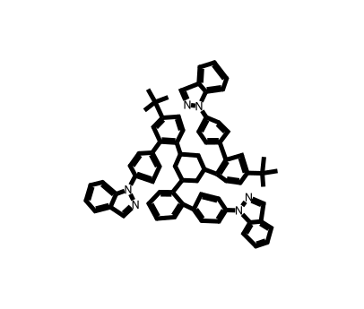 CC(C)(C)c1ccc(C2CC(c3ccccc3-c3ccc(-n4ncc5ccccc54)cc3)CC(c3ccc(C(C)(C)C)cc3-c3ccc(-n4ncc5ccccc54)cc3)C2)c(-c2ccc(-n3ncc4ccccc43)cc2)c1